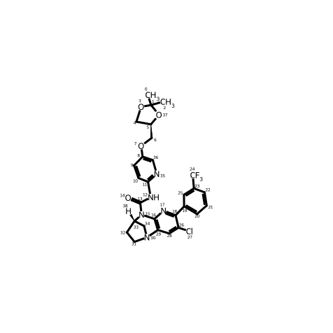 CC1(C)OC[C@H](COc2ccc(NC(=O)N3c4nc(-c5cccc(C(F)(F)F)c5)c(Cl)cc4N4CC[C@H]3C4)nc2)O1